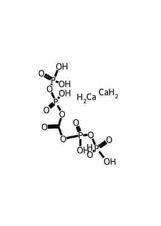 O=C(OP(=O)(O)OP(=O)(O)O)OP(=O)(O)OP(=O)(O)O.[CaH2].[CaH2]